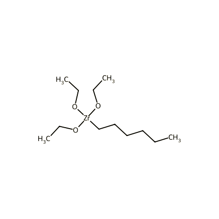 CCCCC[CH2][Zr]([O]CC)([O]CC)[O]CC